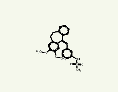 COc1cc2c(cc1OC)/C(=C\c1cccc(NS(C)(=O)=O)c1)c1ccccc1CC2